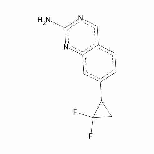 Nc1ncc2ccc(C3CC3(F)F)cc2n1